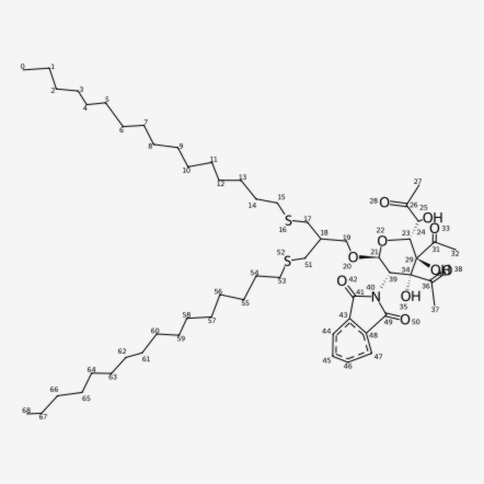 CCCCCCCCCCCCCCCCSCC(CO[C@H]1O[C@H](C(O)C(C)=O)[C@](O)(C(C)=O)[C@@](O)(C(C)=O)[C@@H]1N1C(=O)c2ccccc2C1=O)CSCCCCCCCCCCCCCCCC